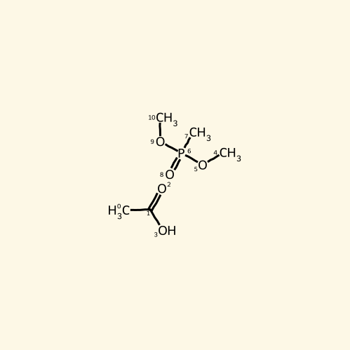 CC(=O)O.COP(C)(=O)OC